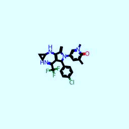 C=C1C(NC2CC2)=C(C(=N)C(F)(F)F)C(c2ccc(Cl)cc2)N1c1cc(C)c(=O)n(C)c1